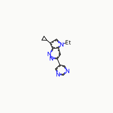 CCn1cc(C2CC2)c2nnc(-c3cncnc3)cc21